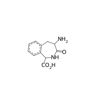 NC1Cc2ccccc2C(C(=O)O)NC1=O